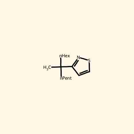 CCCCCCC(C)(CCCCC)c1ccsn1